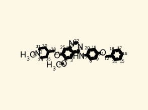 COc1cc2c(Nc3ccc(OCc4ccccc4)cc3)ncnc2cc1OCC1CCN(C)CC1